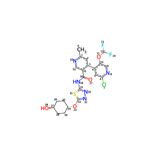 Cc1cc(-c2cc(Cl)ncc2OC(F)F)c(C(=O)Nc2nnc(O[C@H]3CC[C@H](O)CC3)s2)cn1